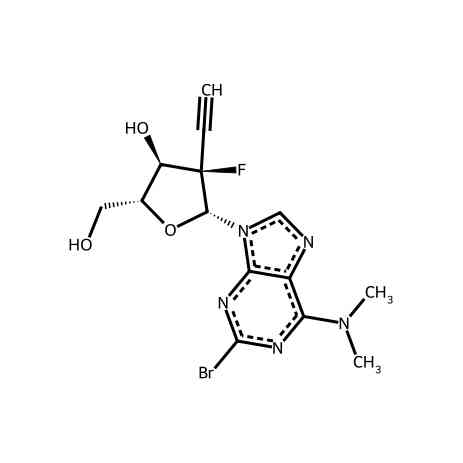 C#C[C@@]1(F)[C@H](O)[C@@H](CO)O[C@H]1n1cnc2c(N(C)C)nc(Br)nc21